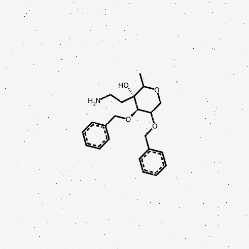 CC1OCC(OCc2ccccc2)[C@@H](OCc2ccccc2)[C@@]1(O)CCN